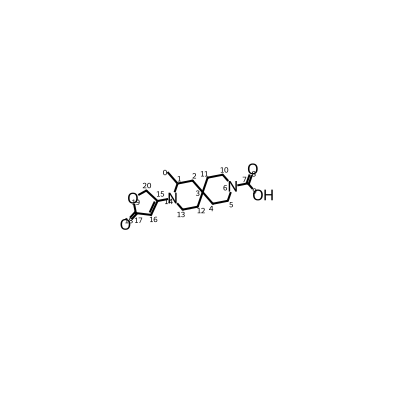 CC1CC2(CCN(C(=O)O)CC2)CCN1C1=CC(=O)OC1